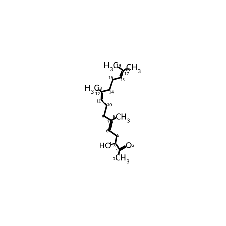 CC(=O)C(O)C/C=C(\C)CCC=C(C)CCC=C(C)C